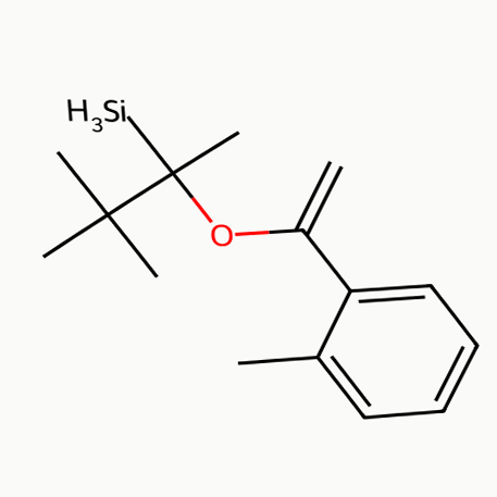 C=C(OC(C)([SiH3])C(C)(C)C)c1ccccc1C